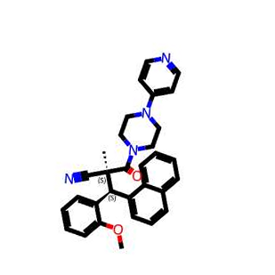 COc1ccccc1[C@H](c1cccc2ccccc12)[C@@](C)(C#N)C(=O)N1CCN(c2ccncc2)CC1